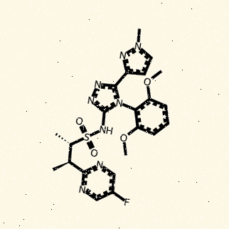 COc1cccc(OC)c1-n1c(NS(=O)(=O)[C@@H](C)[C@H](C)c2ncc(F)cn2)nnc1-c1ccn(C)n1